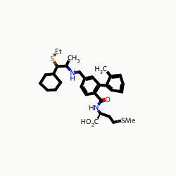 CCSC(C1CCCCC1)C(C)NCc1ccc(C(=O)N[C@@H](CCSC)C(=O)O)c(-c2ccccc2C)c1